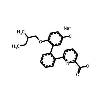 CCC(C)COc1ccc(Cl)cc1-c1ccccc1-c1cccc(C(=O)[O-])n1.[Na+]